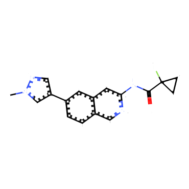 Cn1cc(-c2ccc3cnc(NC(=O)C4(F)CC4)cc3c2)cn1